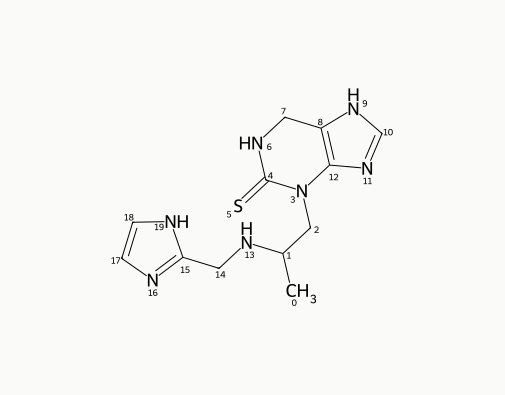 CC(CN1C(=S)NCc2[nH]cnc21)NCc1ncc[nH]1